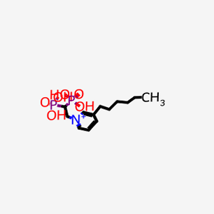 CCCCCCc1ccc[n+](CC(P(=O)(O)O)P(=O)(O)O)c1